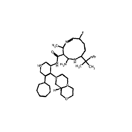 CCCC(C)(C)C1CCC(F)/C=N\C(C)C(C(=O)NC2CNCC(C3CCCCCC3)C2N2CCN3CCOC[C@@H]3C2)C(N)N1